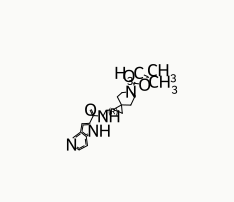 CC(C)(C)OC(=O)N1CCC2(CC1)C[C@H]2CNC(=O)c1cc2cnccc2[nH]1